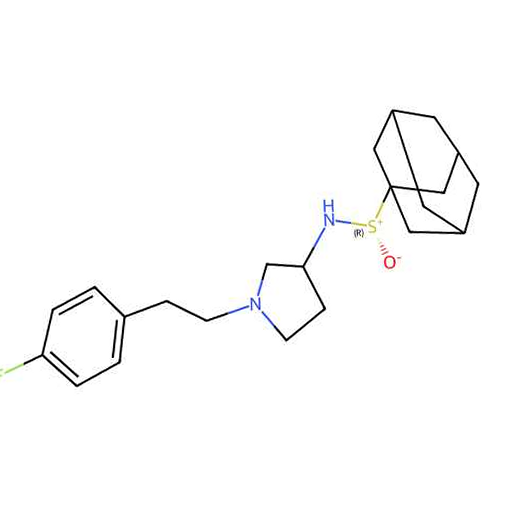 [O-][S@+](NC1CCN(CCc2ccc(F)cc2)C1)C12CC3CC(CC(C3)C1)C2